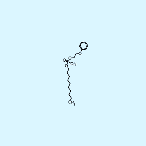 CCCCCCCCCCOP(=O)(O)OCCOc1ccccc1